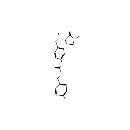 CN1CC[C@@H](N(C)Cc2ccc(NC(=O)NCc3ccc(F)cc3)cc2)C1=O